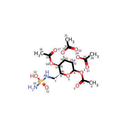 CC(=O)OC1O[C@H](CNP(N)(=O)O)[C@@H](OC(C)=O)[C@H](OC(C)=O)[C@@H]1OC(C)=O